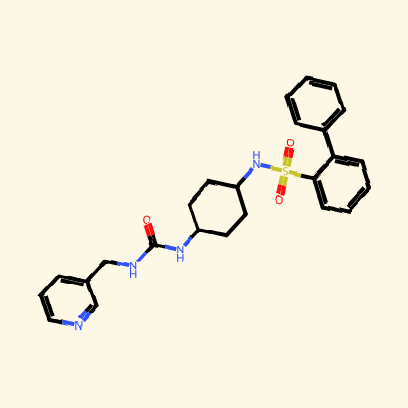 O=C(NCc1cccnc1)NC1CCC(NS(=O)(=O)c2ccccc2-c2ccccc2)CC1